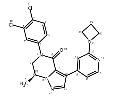 C[C@H]1CN(c2ccc(Cl)c(Cl)c2)C(=O)c2c(-c3ccnc(N4CCC4)c3)cnn21